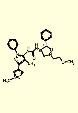 COCCN1C[C@@H](NC(=O)Nc2c(C)c(-c3cnn(C)c3)nn2-c2ccccc2)[C@H](c2ccccc2)O1